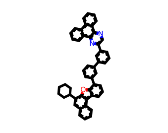 c1cc(-c2cccc(-c3cccc4c3oc3c(C5CCCCC5)cc5ccccc5c34)c2)cc(-c2cnc3c4ccccc4c4ccccc4c3n2)c1